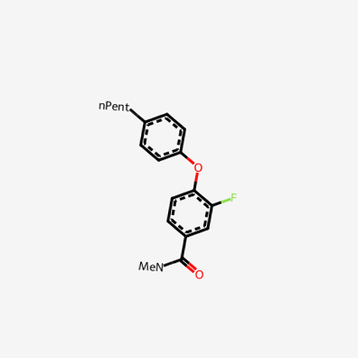 CCCCCc1ccc(Oc2ccc(C(=O)NC)cc2F)cc1